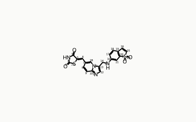 O=C1NC(=O)/C(=C/c2ccc3ncc(CNc4ccc5c(c4)S(=O)(=O)C=C5)n3c2)S1